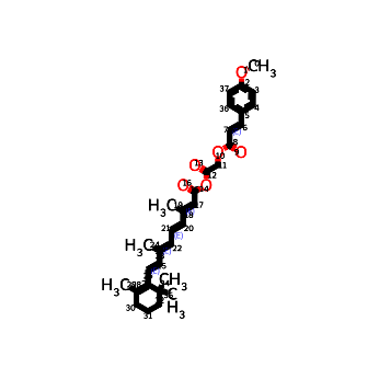 COc1ccc(/C=C/C(=O)OCC(=O)OC(=O)/C=C(C)/C=C/C=C(C)/C=C/C2=C(C)CCCC2(C)C)cc1